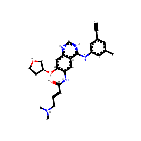 C#Cc1cc(C)cc(Nc2ncnc3cc(O[C@H]4CCOC4)c(NC(=O)/C=C/CN(C)C)cc23)c1